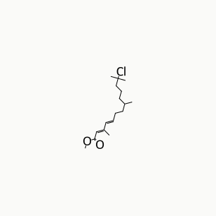 COC(=O)/C=C(C)/C=C/CCC(C)CCCC(C)(C)Cl